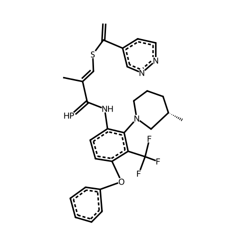 C=C(S/C=C(\C)C(=P)Nc1ccc(Oc2ccccc2)c(C(F)(F)F)c1N1CCC[C@H](C)C1)c1ccnnc1